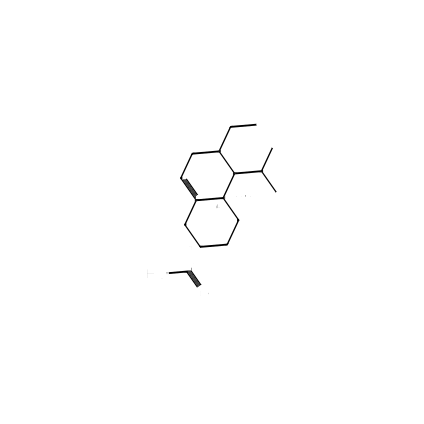 CCC1CC=C2C[C@@H](C(=O)O)CC[C@]2(C)C1C(C)C